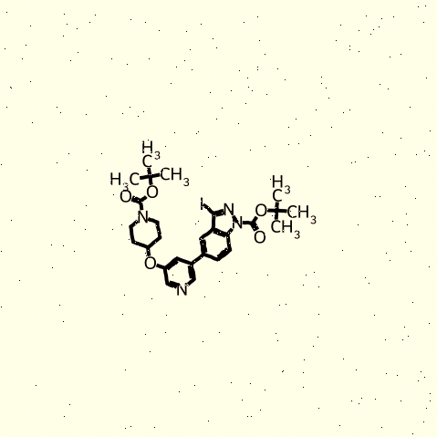 CC(C)(C)OC(=O)N1CCC(Oc2cncc(-c3ccc4c(c3)c(I)nn4C(=O)OC(C)(C)C)c2)CC1